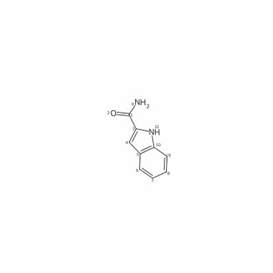 NC(=O)c1cc2ccc[c]c2[nH]1